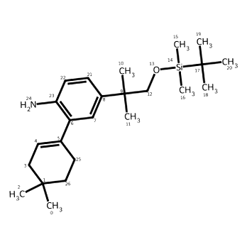 CC1(C)CC=C(c2cc(C(C)(C)CO[Si](C)(C)C(C)(C)C)ccc2N)CC1